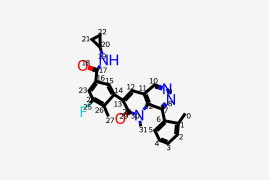 Cc1ccccc1-c1nncc2cc(-c3cc(C(=O)NC4CC4)cc(F)c3C)c(=O)n(C)c12